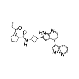 C=CC(=O)N1CCC[C@H]1C(=O)NC1CC(c2cc3c(-c4cnn5ncccc45)ccnc3[nH]2)C1